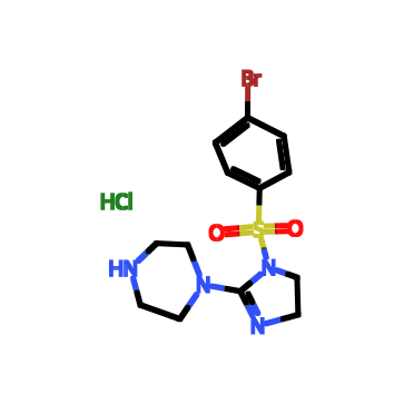 Cl.O=S(=O)(c1ccc(Br)cc1)N1CCN=C1N1CCNCC1